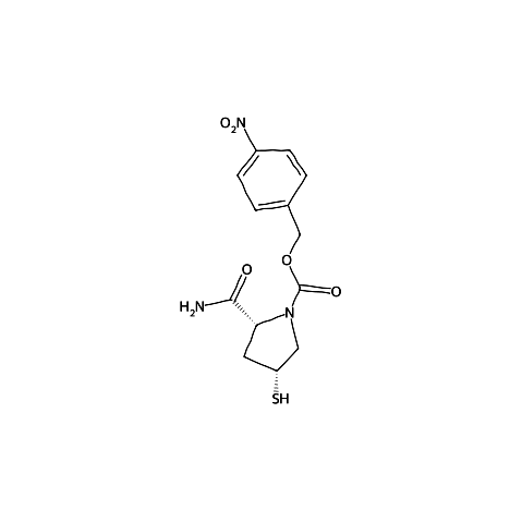 NC(=O)[C@H]1C[C@@H](S)CN1C(=O)OCc1ccc([N+](=O)[O-])cc1